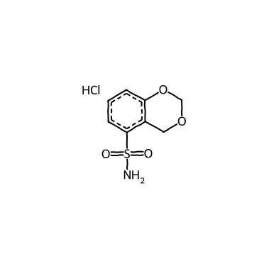 Cl.NS(=O)(=O)c1cccc2c1COCO2